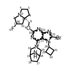 F[C@H]1CN2CCC[C@@]2(COc2nc(N3CC4CCC(C3)N4)c3c(n2)nc(Br)n3C2CCC2)C1